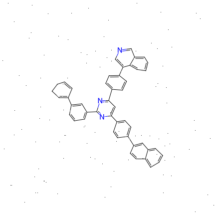 C1=CC(c2cccc(-c3nc(-c4ccc(-c5ccc6ccccc6c5)cc4)cc(-c4ccc(-c5cncc6ccccc56)cc4)n3)c2)=CCC1